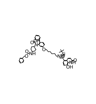 CC(C)(C)[Si](C)(C)OC(CNCCCCCCOc1ccc(-c2ccccc2)c(N(C(=O)O)C2CCC(NC(=O)OCc3ccccc3)CC2)c1)c1ccc(O)c2[nH]c(=O)ccc12